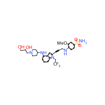 COc1cc(S(N)(=O)=O)ccc1NCC#Cc1cc2c(NC3CCN(C[C@H](O)CO)CC3)cccc2n1CC(F)(F)F